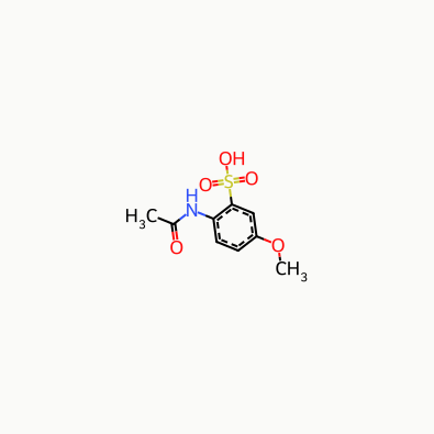 COc1ccc(NC(C)=O)c(S(=O)(=O)O)c1